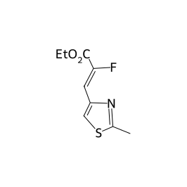 CCOC(=O)C(F)=Cc1csc(C)n1